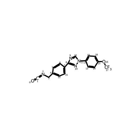 O=C=NCc1ccc(-c2ncn(-c3ccc(OC(F)(F)F)cc3)n2)cc1